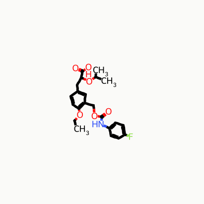 CCOc1ccc(CC(OC(C)C)C(=O)O)cc1COC(=O)Nc1ccc(F)cc1